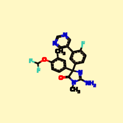 Cc1cc(C2(c3ccc(F)c(-c4cncnc4)c3)N=C(N)N(C)C2=O)ccc1OC(F)F